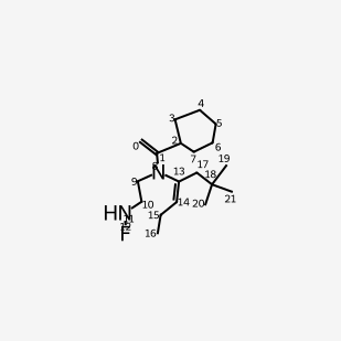 C=C(C1CCCCC1)N(CCNF)/C(=C\CC)CC(C)(C)C